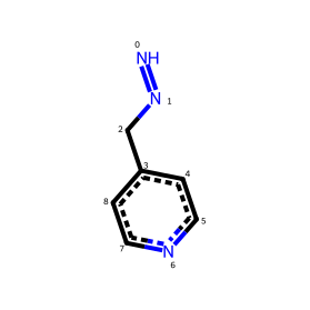 N=NCc1ccncc1